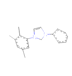 Cc1cc(C)c(C)c(N2C=CN(c3ccccc3)[C@@H]2C)c1